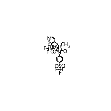 Cc1cnccc1C[N+]1(OC(=O)C(F)(F)F)C(=O)N(c2ccc(S(=O)(=O)C(F)(F)F)cc2)C(=O)[C@H]1C